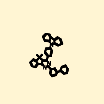 CC1(C)c2ccccc2-c2nc(-c3cccc(-c4ccccc4)c3)nc(-c3ccc(-n4c5ccccc5c5ccccc54)cc3)c21